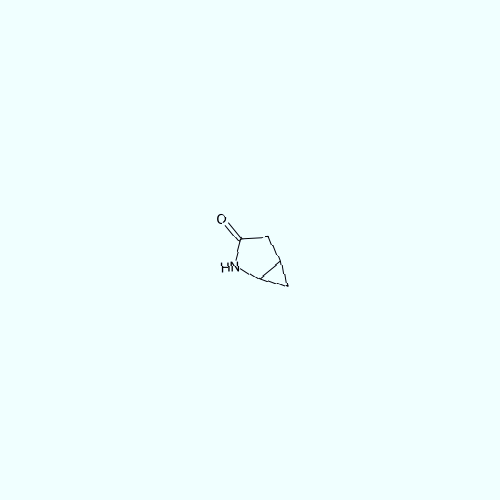 O=C1CC2CC2N1